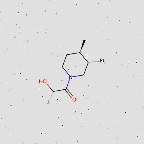 CC[C@@H]1CN(C(=O)[C@H](C)O)CC[C@H]1C